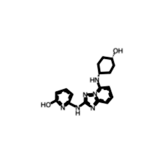 Oc1cccc(Nc2nc3cccc(N[C@H]4CC[C@@H](O)CC4)n3n2)n1